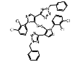 Clc1cccc(-n2ncc(-c3nnn(Cc4ccccc4)n3)c2SSc2c(-c3nnn(Cc4ccccc4)n3)cnn2-c2cccc(Cl)c2Cl)c1Cl